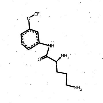 NCCC[C@H](N)C(=O)Nc1cccc(OC(F)(F)F)c1